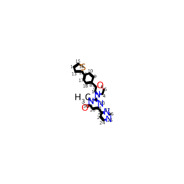 Cn1c(N2CCOC(c3ccc(-c4cccs4)cc3)C2)nc(-c2ccncn2)cc1=O